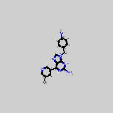 N#Cc1cncc(-c2nc(N)nc3c2ncn3Cc2ccc(N)cc2)c1